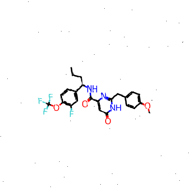 CCC[C@@H](NC(=O)c1cc(=O)[nH]c(Cc2ccc(OC)cc2)n1)c1ccc(OC(F)(F)F)c(F)c1